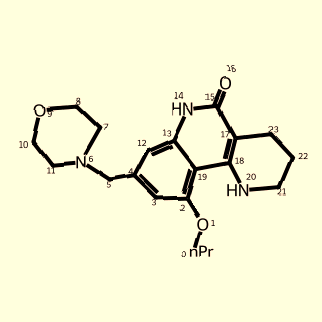 CCCOc1cc(CN2CCOCC2)cc2[nH]c(=O)c3c(c12)NCCC3